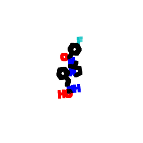 O=C(c1ccc(F)cc1)N1CC2(CCCN2c2ccccc2/C=C/NO)C1